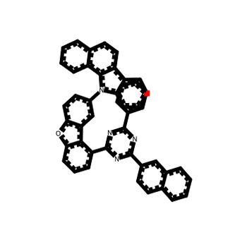 c1ccc(-c2nc(-c3ccc4ccccc4c3)nc(-c3cccc4oc5ccc(-n6c7ccccc7c7ccc8ccccc8c76)cc5c34)n2)cc1